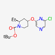 CC[C@H]1CC(Oc2cncc(Cl)n2)CCN1C(=O)OC(C)(C)C